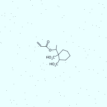 C=CC(=O)OC(C)C1(C(=O)O)CCCCC1C(=O)O